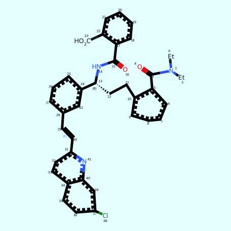 CCN(CC)C(=O)c1ccccc1CC[C@@H](NC(=O)c1ccccc1C(=O)O)c1cccc(/C=C/c2ccc3ccc(Cl)cc3n2)c1